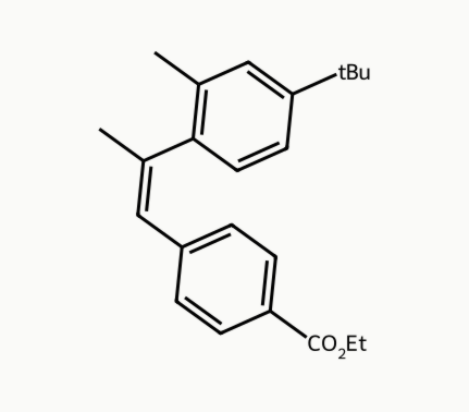 CCOC(=O)c1ccc(C=C(C)c2ccc(C(C)(C)C)cc2C)cc1